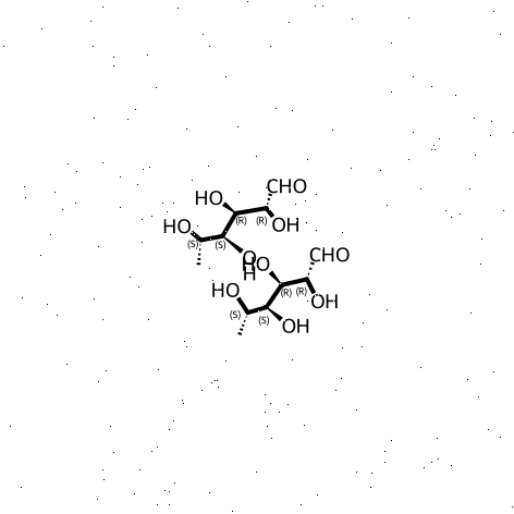 C[C@H](O)[C@H](O)[C@@H](O)[C@@H](O)C=O.C[C@H](O)[C@H](O)[C@@H](O)[C@@H](O)C=O